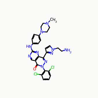 CN1CCN(c2ccc(Nc3ncc4c(=O)n(-c5c(Cl)cccc5Cl)nc(-c5ccn(CCN)n5)c4n3)cc2)CC1